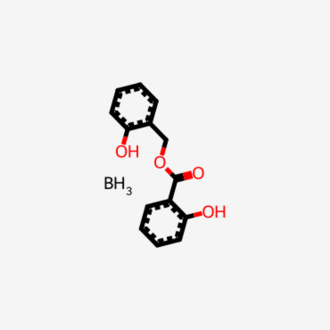 B.O=C(OCc1ccccc1O)c1ccccc1O